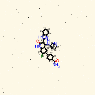 NC(=O)c1ccc(-c2cc3c(N[C@H]4CN5CCC4CC5)c(-c4nc5ccccc5[nH]4)c(=O)[nH]c3cc2F)cc1